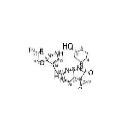 O=C1N([C@@H]2CCC[C@@H](O)C2)c2nc(Nc3c[nH]nc3OCC(F)F)ncc2C12CC2